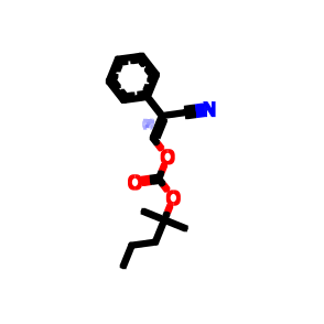 CCCC(C)(C)OC(=O)O/C=C(\C#N)c1ccccc1